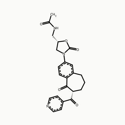 CC(=O)NC[C@H]1CN(c2ccc3c(c2)CCC[C@H](C(=O)c2ccncc2)C3=O)C(=O)O1